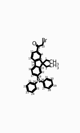 CCC1(CC)c2cc(C(=O)CBr)ccc2-c2ccc(N(c3ccccc3)c3ccccc3)cc21